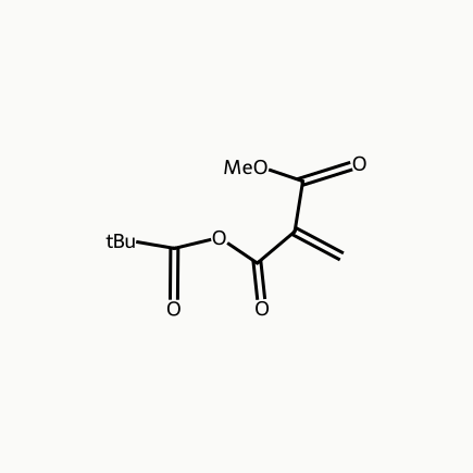 C=C(C(=O)OC)C(=O)OC(=O)C(C)(C)C